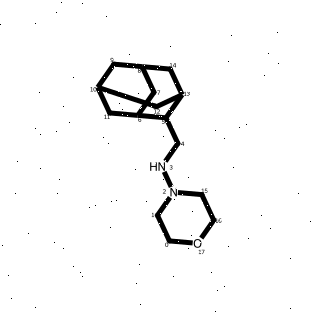 C1CN(NCC2C3CC4CC(C3)CC2C4)CCO1